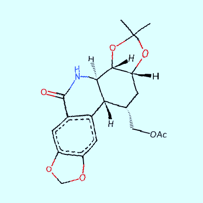 CC(=O)OC[C@H]1C[C@H]2OC(C)(C)O[C@H]2[C@@H]2NC(=O)c3cc4c(cc3[C@@H]12)OCO4